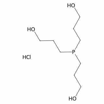 Cl.OCCCP(CCCO)CCCO